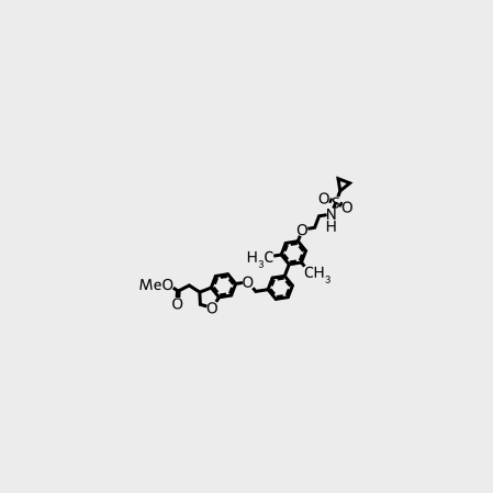 COC(=O)CC1COc2cc(OCc3cccc(-c4c(C)cc(OCCNS(=O)(=O)C5CC5)cc4C)c3)ccc21